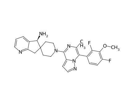 COc1c(F)ccc(-c2c(C)nc(N3CCC4(CC3)Cc3ncccc3[C@H]4N)c3ccnn23)c1F